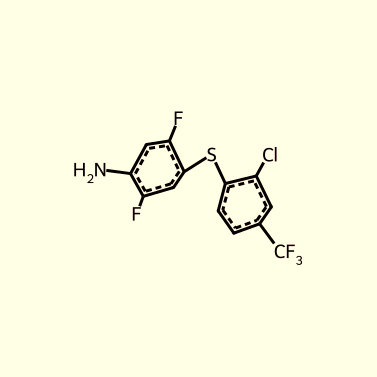 Nc1cc(F)c(Sc2ccc(C(F)(F)F)cc2Cl)cc1F